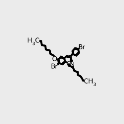 CCCCCCCCOc1cc(C=C(C#N)c2ccc(Br)cc2)c(OCCCCCCCC)cc1Br